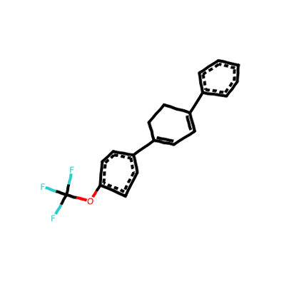 FC(F)(F)Oc1ccc(C2=CC=C(c3ccccc3)CC2)cc1